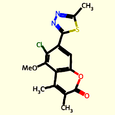 COc1c(Cl)c(-c2nnc(C)s2)cc2oc(=O)c(C)c(C)c12